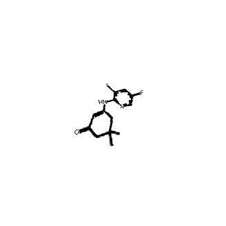 CC1(C)CC(=O)C=C(Nc2ncc(F)cc2I)C1